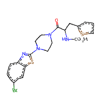 O=C(O)NC(Cc1cccs1)C(=O)N1CCN(c2nc3ccc(Br)cc3s2)CC1